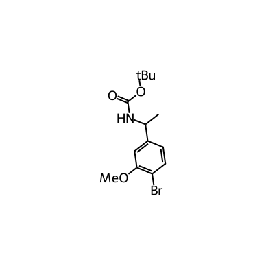 COc1cc(C(C)NC(=O)OC(C)(C)C)ccc1Br